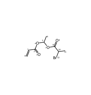 C=CC(=O)OC(C)OC(=O)C(C)Br